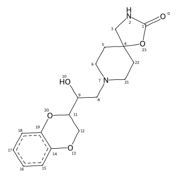 O=C1NCC2(CCN(CC(O)C3COc4ccccc4O3)CC2)O1